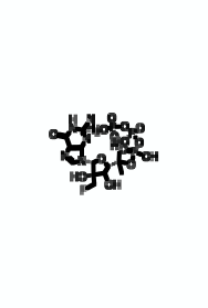 CC(C)(OP(=O)(O)OP(=O)(O)OP(=O)(O)O)[C@H]1O[C@@H](n2cnc3c(=O)[nH]c(N)nc32)[C@@](O)(CF)C1O